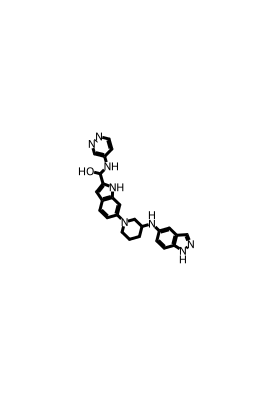 OC(Nc1ccnnc1)c1cc2ccc(N3CCCC(Nc4ccc5[nH]ncc5c4)C3)cc2[nH]1